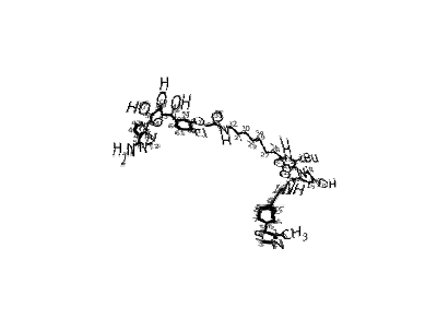 Cc1ncsc1-c1ccc(CNC(=O)[C@@H]2C[C@@H](O)CN2C(=O)[C@@H](NC(=O)CCCCCCCNC(=O)COc2cc([C@@H](O)[C@H]3O[C@@H](n4ccc5c(N)ncnc54)[C@H](O)[C@@H]3O)ccc2Cl)C(C)(C)C)cc1